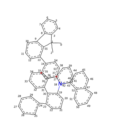 CC1(C)c2ccccc2-c2cccc(-c3ccc(N(c4cccc(-c5ccccc5)c4-c4ccccc4-c4ccccc4)c4cccc5ccccc45)cc3)c21